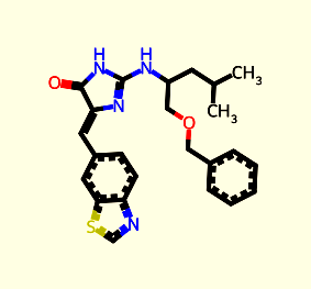 CC(C)CC(COCc1ccccc1)NC1=N/C(=C\c2ccc3ncsc3c2)C(=O)N1